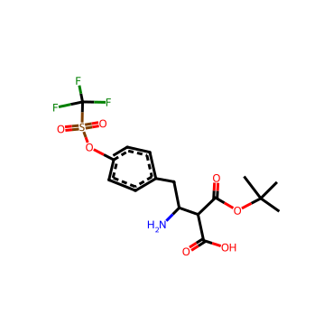 CC(C)(C)OC(=O)C(C(=O)O)C(N)Cc1ccc(OS(=O)(=O)C(F)(F)F)cc1